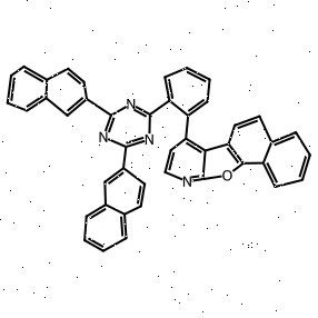 c1ccc(-c2ccnc3oc4c5ccccc5ccc4c23)c(-c2nc(-c3ccc4ccccc4c3)nc(-c3ccc4ccccc4c3)n2)c1